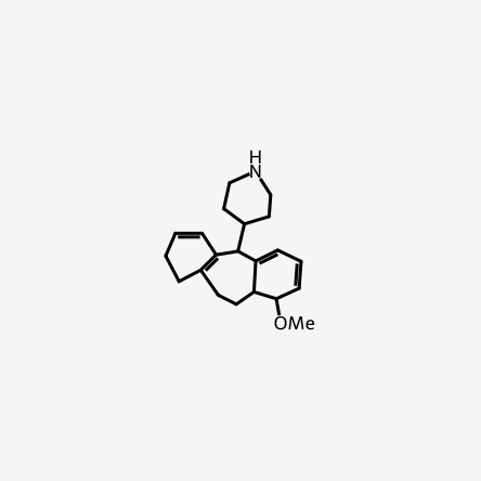 COC1C=CC=C2C1CCC1=C(C=CCC1)C2C1CCNCC1